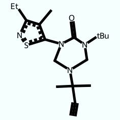 C#CC(C)(C)N1CN(c2snc(CC)c2C)C(=O)N(C(C)(C)C)C1